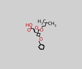 CC(C)CCOC(=O)C1(C=CC(=O)O)CC(OCc2ccccc2)C1